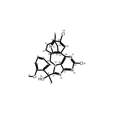 COc1ccccc1C(C)(O)c1nc2nc(Cl)nc(-c3cncc(Cl)c3)c2n1CC1CCC(C)CC1